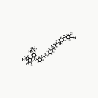 CCS(=O)(=O)Nc1ccc(Oc2cccc(OCCOC3CCN(c4ncc(C(=O)N[C@H]5CC[C@H](Oc6ccc(C#N)c(Cl)c6)CC5)cn4)CC3)c2)c(-c2cn(C)c(=O)c3[nH]ccc23)c1